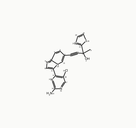 CC(O)(C#Cc1ccc2ncc(-c3nc(N)ncc3Cl)n2c1)c1nccs1